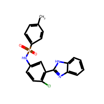 Cc1ccc(S(=O)(=O)Nc2ccc(Cl)c(-c3nc4ccccc4[nH]3)c2)cc1